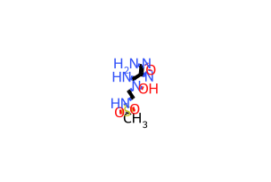 CS(=O)(=O)NCCN(O)C(=N)c1nonc1N